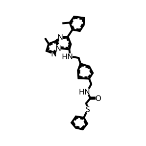 Cc1ccccc1-c1cc(NCc2ccc(CNC(=O)CSc3ccccc3)cc2)n2ncc(C)c2n1